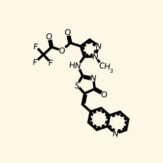 Cn1ncc(C(=O)OC(=O)C(F)(F)F)c1NC1=NC(=O)C(=Cc2ccc3ncccc3c2)S1